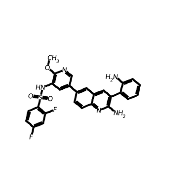 COc1ncc(-c2ccc3nc(N)c(-c4ccccc4N)cc3c2)cc1NS(=O)(=O)c1ccc(F)cc1F